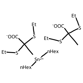 CCCCC[CH2][Sn+2][CH2]CCCCC.CCSC(C)(SCC)C(=O)[O-].CCSC(C)(SCC)C(=O)[O-]